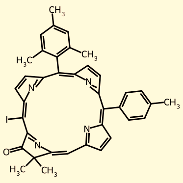 Cc1ccc(C2=C3C=CC(=N3)C=C3N=C(C(=O)C3(C)C)C(I)=C3C=CC(=N3)C(c3c(C)cc(C)cc3C)=C3C=CC2=N3)cc1